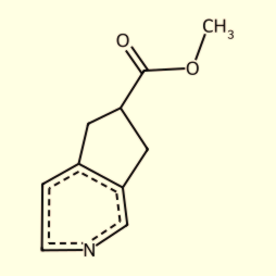 COC(=O)C1Cc2ccncc2C1